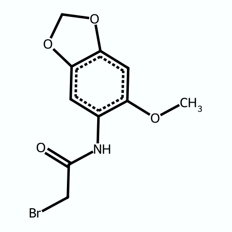 COc1cc2c(cc1NC(=O)CBr)OCO2